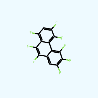 Fc1[c]c2c(F)c(F)c3c(F)[c]c(F)c(F)c3c2c(F)c1F